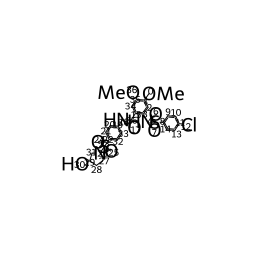 COc1cc(NS(=O)(=O)c2ccc(Cl)cc2)c(C(=O)Nc2ccc(S(=O)(=O)N3CCC(O)C3)cc2)cc1OC